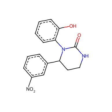 O=C1NCCC(c2cccc([N+](=O)[O-])c2)N1c1ccccc1O